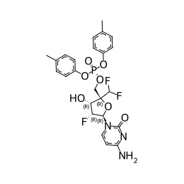 Cc1ccc(OP(=O)(OC[C@@]2(C(F)F)O[C@@H](n3ccc(N)nc3=O)[C@H](F)[C@@H]2O)Oc2ccc(C)cc2)cc1